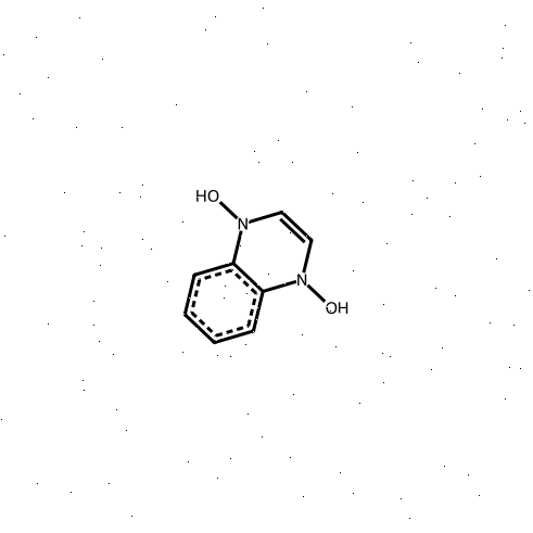 ON1C=CN(O)c2ccccc21